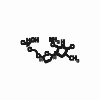 Cc1cn([C@H]2C=C[C@@H](OCO[PH](=O)O)O2)c(=O)[nH]c1=O.N